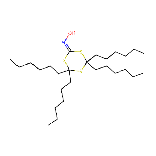 CCCCCCC1(CCCCCC)SC(=NO)SC(CCCCCC)(CCCCCC)S1